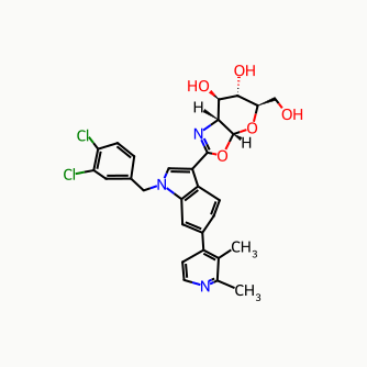 Cc1nccc(-c2ccc3c(C4=N[C@H]5[C@@H](O4)O[C@H](CO)[C@@H](O)[C@@H]5O)cn(Cc4ccc(Cl)c(Cl)c4)c3c2)c1C